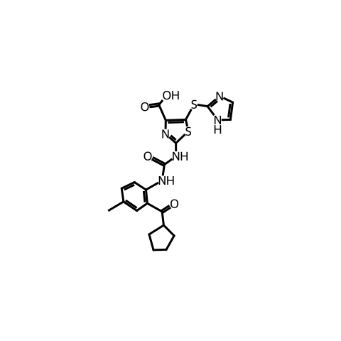 Cc1ccc(NC(=O)Nc2nc(C(=O)O)c(Sc3ncc[nH]3)s2)c(C(=O)C2CCCC2)c1